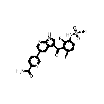 CCCS(=O)(=O)Nc1ccc(F)c(C(=O)c2c[nH]c3ncc(-c4ccc(C(N)=O)nc4)cc23)c1F